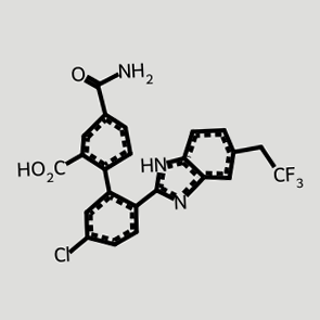 NC(=O)c1ccc(-c2cc(Cl)ccc2-c2nc3cc(CC(F)(F)F)ccc3[nH]2)c(C(=O)O)c1